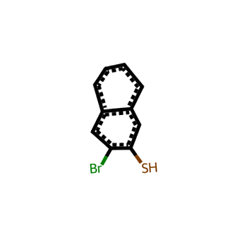 Sc1cc2ccccc2cc1Br